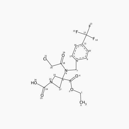 CCOC(=O)C1(N(Cc2ccc(C(F)(F)F)cc2)C(=O)CCl)CN(C(=O)O)C1